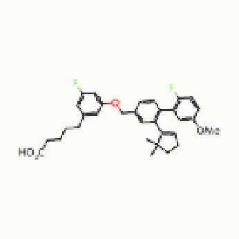 COc1ccc(F)c(-c2ccc(COc3cc(F)cc(CCCCC(=O)O)c3)cc2C2=CCCC2(C)C)c1